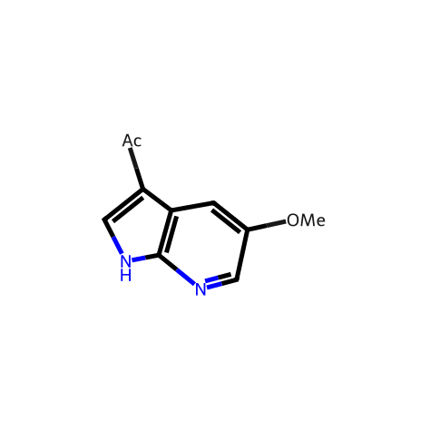 COc1cnc2[nH]cc(C(C)=O)c2c1